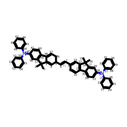 CC1(C)C2=CC(/C=C/c3ccc4c(c3)C(C)(C)c3cc(N(c5ccccc5)c5ccccc5)ccc3-4)CC=C2c2ccc(N(c3ccccc3)c3ccccc3)cc21